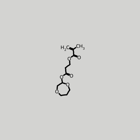 C=C(C)C(=O)OCCC(=O)OC1COCCCO1